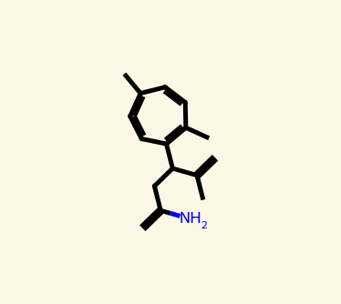 C=C(N)CC(C(=C)C)C1=C(C)C=CC(C)=C=C1